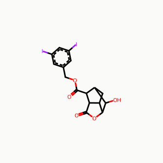 O=C(OCc1cc(I)cc(I)c1)C1C2CC3C(OC(=O)C31)C2O